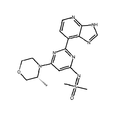 C[C@@H]1COCCN1c1cc(N=S(C)(C)=O)nc(-c2ccnc3[nH]cnc23)n1